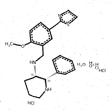 COc1ccc(-c2nccs2)cc1CN[C@H]1CCCN[C@H]1c1ccccc1.Cl.Cl.Cl.O.O